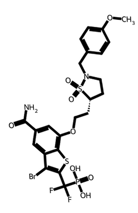 COc1ccc(CN2CC[C@H](CCOc3cc(C(N)=O)cc4c(Br)c(C(F)(F)P(=O)(O)O)sc34)S2(=O)=O)cc1